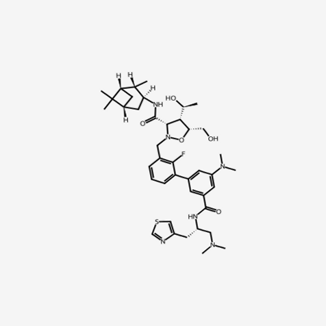 C[C@@H]1[C@@H](NC(=O)[C@@H]2[C@H]([C@H](C)O)[C@H](CO)ON2Cc2cccc(-c3cc(C(=O)N[C@@H](Cc4cscn4)CN(C)C)cc(N(C)C)c3)c2F)C[C@H]2C[C@@H]1C2(C)C